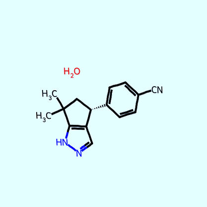 CC1(C)C[C@H](c2ccc(C#N)cc2)c2cn[nH]c21.O